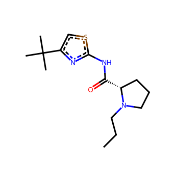 CCCN1CCC[C@H]1C(=O)Nc1nc(C(C)(C)C)cs1